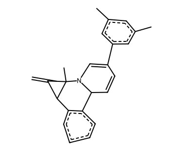 C=C1C2c3ccccc3C3C=CC(c4cc(C)cc(C)c4)=CN3C12C